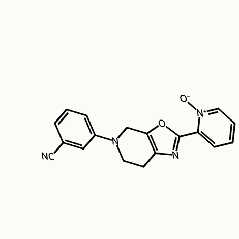 N#Cc1cccc(N2CCc3nc(-c4cccc[n+]4[O-])oc3C2)c1